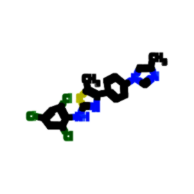 Cc1cn(-c2ccc(-c3nc(Nc4c(Cl)cc(Cl)cc4Cl)sc3C)cc2)cn1